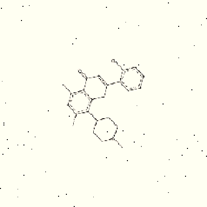 C=C1C=C(c2ccccc2Cl)Cc2c1c(C)cc(C)c2C1CCN(C)CC1